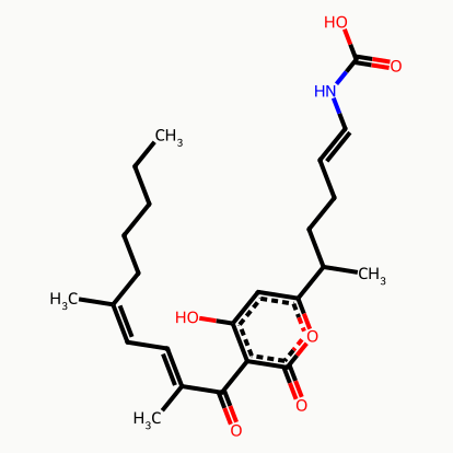 CCCCCC(C)=CC=C(C)C(=O)c1c(O)cc(C(C)CCC=CNC(=O)O)oc1=O